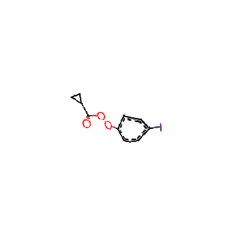 O=C(OOc1ccc(I)cc1)C1CC1